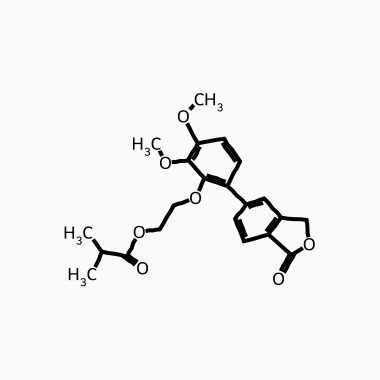 COc1ccc(-c2ccc3c(c2)COC3=O)c(OCCOC(=O)C(C)C)c1OC